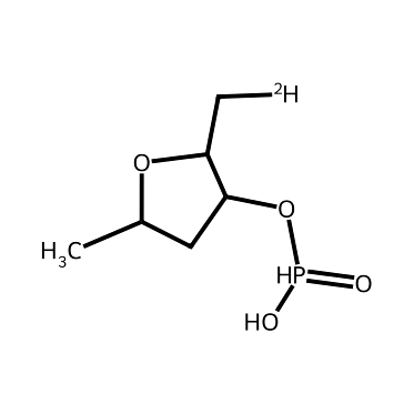 [2H]CC1OC(C)CC1O[PH](=O)O